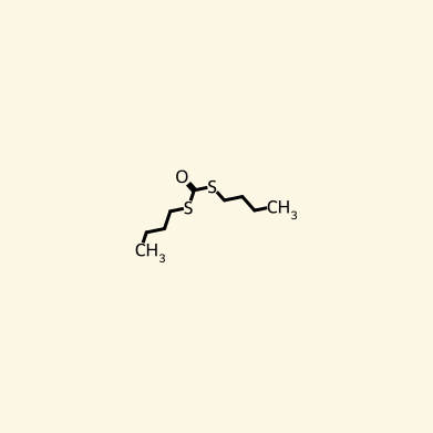 CCCCSC(=O)SCCCC